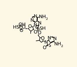 CC1C[C@H](n2c(=O)sc3c(N)ncnc32)OC1CO[P@](=O)(S)OC1C(C)[C@@H](COP(=O)(O)S)O[C@H]1n1cnc2c(N)ncnc21